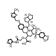 Cc1nc(COc2ccc(CC(NC(=O)O[C@H]3CO[C@H]4OCC[C@H]43)C(CN(CC(C)C)S(=O)(=O)c3ccc4c(c3)OCO4)[C@H](OCC(=O)Nc3ccn[nH]3)C(=O)O)cc2)cs1